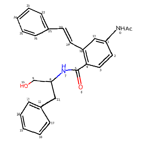 CC(=O)Nc1ccc(C(=O)NC(CO)Cc2ccccc2)c(C=Cc2ccccc2)c1